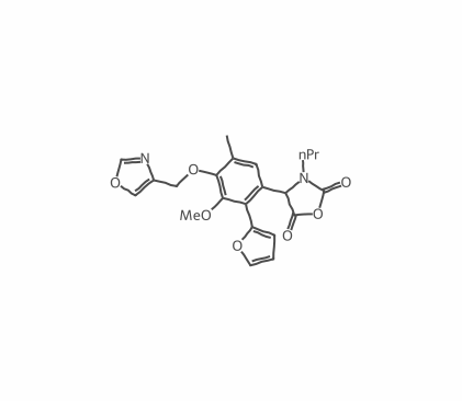 CCCN1C(=O)OC(=O)C1c1cc(C)c(OCc2cocn2)c(OC)c1-c1ccco1